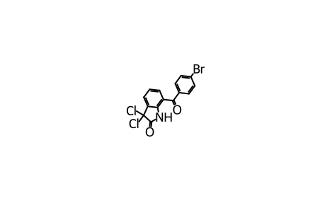 O=C(c1ccc(Br)cc1)c1cccc2c1NC(=O)C2(Cl)Cl